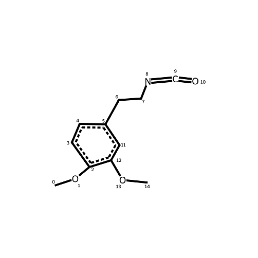 COc1ccc(CCN=C=O)cc1OC